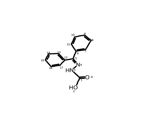 O=C(O)NN=C(c1ccccc1)c1ccccc1